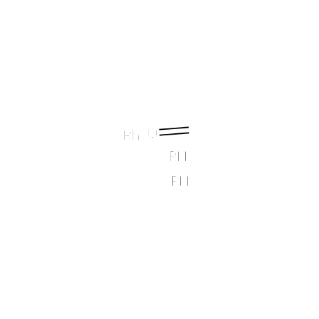 P.P.[C]=O.[Rh]